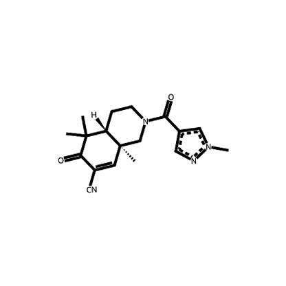 Cn1cc(C(=O)N2CC[C@H]3C(C)(C)C(=O)C(C#N)=C[C@]3(C)C2)cn1